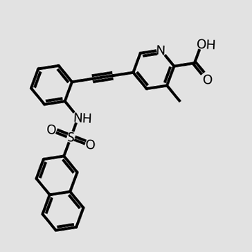 Cc1cc(C#Cc2ccccc2NS(=O)(=O)c2ccc3ccccc3c2)cnc1C(=O)O